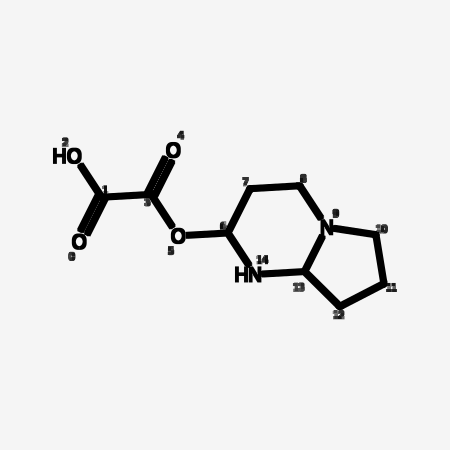 O=C(O)C(=O)OC1CCN2CCCC2N1